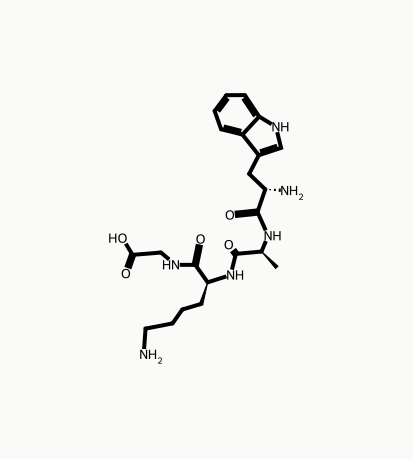 C[C@H](NC(=O)[C@@H](N)Cc1c[nH]c2ccccc12)C(=O)N[C@@H](CCCCN)C(=O)NCC(=O)O